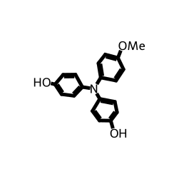 COc1ccc(N(c2ccc(O)cc2)c2ccc(O)cc2)cc1